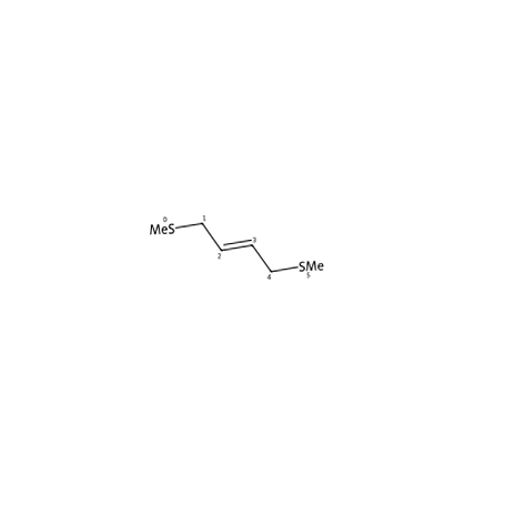 CSCC=CCSC